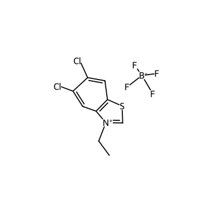 CC[n+]1csc2cc(Cl)c(Cl)cc21.F[B-](F)(F)F